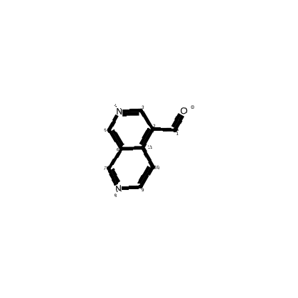 O=[C]c1cncc2cnccc12